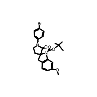 COc1ccc2c(c1)N(C(=O)OC(C)(C)C)C1(CCN(c3ccc(Br)cc3)C1=O)C2